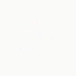 CC(C)(C)N(C(=O)O)C1(CC#N)CCCCC1